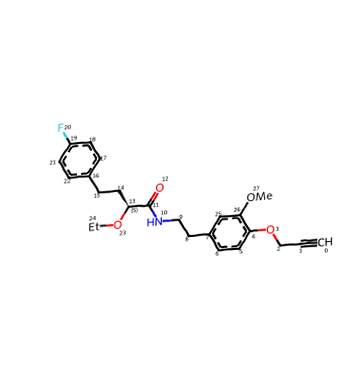 C#CCOc1ccc(CCNC(=O)[C@H](CCc2ccc(F)cc2)OCC)cc1OC